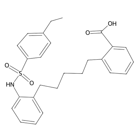 CCc1ccc(S(=O)(=O)Nc2ccccc2CCCCCc2ccccc2C(=O)O)cc1